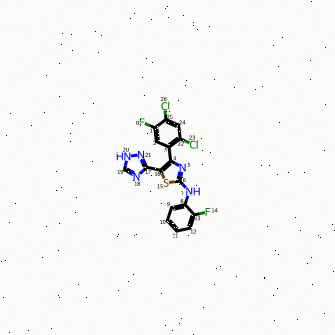 Fc1cc(-c2nc(Nc3ccccc3F)sc2-c2nc[nH]n2)c(Cl)cc1Cl